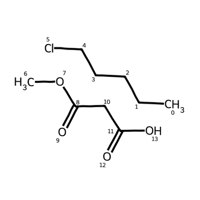 CCCCCCl.COC(=O)CC(=O)O